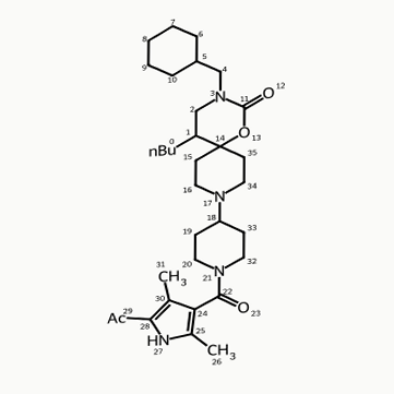 CCCCC1CN(CC2CCCCC2)C(=O)OC12CCN(C1CCN(C(=O)c3c(C)[nH]c(C(C)=O)c3C)CC1)CC2